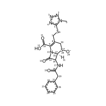 Cn1nnnc1SCC1=C(C(=O)O)N2C(=O)C(NC(=O)Cc3ccccc3)[C@@H]2[S+]([O-])C1